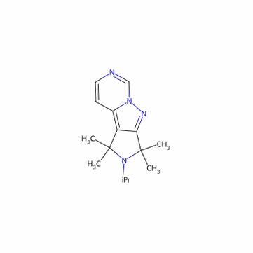 CC(C)N1C(C)(C)c2nn3cnccc3c2C1(C)C